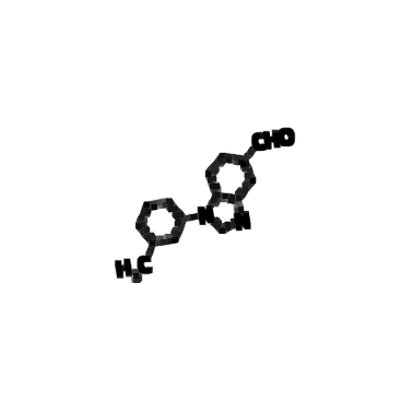 Cc1cccc(-n2cnc3cc(C=O)ccc32)c1